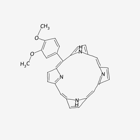 COc1ccc(-c2c3nc(cc4ccc(cc5nc(cc6ccc2[nH]6)C=C5)[nH]4)C=C3)cc1OC